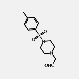 Cc1ccc(S(=O)(=O)N2CCN(C[C]=O)CC2)cc1